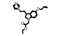 C=CCOc1ccc2c(c1)C(CCn1ccnc1)CN2CC(=O)OCC